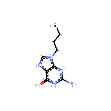 Nc1nc2c(ncn2CCCC=O)c(=O)[nH]1